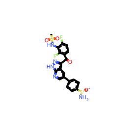 CS(=O)(=O)Nc1c(F)ccc(C(=O)c2n[nH]c3ncc(-c4ccc([S+](N)[O-])cc4)cc23)c1F